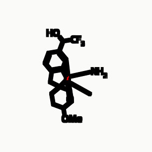 COC1CCC2(CC1)Cc1ccc(C(O)C(F)(F)F)cc1C21N=C(N)N(C)C1=O